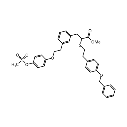 COC(=O)C(Cc1cccc(CCOc2ccc(OS(C)(=O)=O)cc2)c1)SCCc1ccc(OCc2ccccc2)cc1